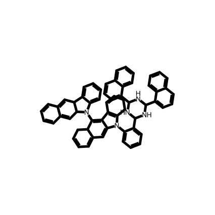 C1=CCC2C(=C1)C=c1c(c3c(n1-c1ccccc1C1NC(c4cccc5ccccc45)NC(c4cccc5ccccc45)N1)CCC=C3)=C2N1c2ccccc2C2C=c3ccccc3=CC21